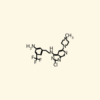 CN1CCN(c2cc3c(NCCc4cc(N)cc(C(F)(F)F)c4)nc(Cl)nc3cn2)CC1